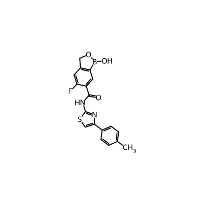 Cc1ccc(-c2csc(NC(=O)c3cc4c(cc3F)COB4O)n2)cc1